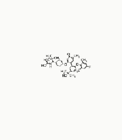 Cc1cc(F)cc(C)c1Oc1ccc(C(C)(C)O)cc1-c1cn(C)c(=O)cc1O[C@H]1CC[C@H](C(NC(=O)O)C(C)(C)C)CC1